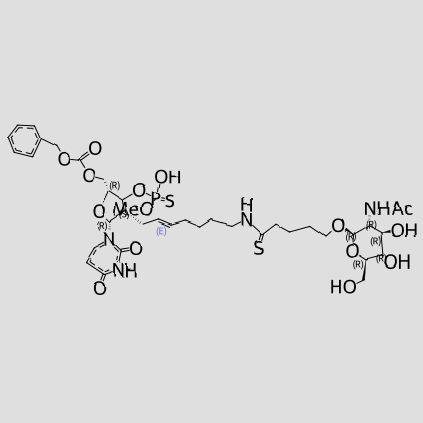 COP(O)(=S)OC1[C@@H](COC(=O)OCc2ccccc2)O[C@@H](n2ccc(=O)[nH]c2=O)[C@H]1C/C=C/CCCCNC(=S)CCCCO[C@@H]1O[C@H](CO)[C@H](O)[C@H](O)[C@H]1NC(C)=O